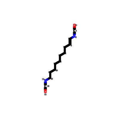 O=C=NC=CCCCCCCCCN=C=O